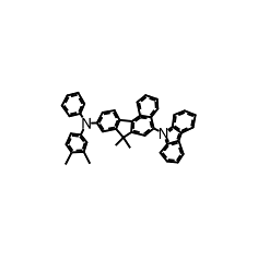 Cc1ccc(N(c2ccccc2)c2ccc3c(c2)C(C)(C)c2cc(-n4c5ccccc5c5ccccc54)c4ccccc4c2-3)cc1C